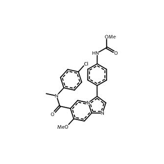 COC(=O)Nc1ccc(-c2cnc3cc(OC)c(C(=O)N(C)c4ccc(Cl)cc4)cn23)cc1